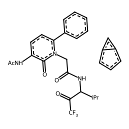 CC(=O)Nc1ccc(-c2ccccc2)n(CC(=O)NC(C(=O)C(F)(F)F)C(C)C)c1=O.c1cc2cc-2c1